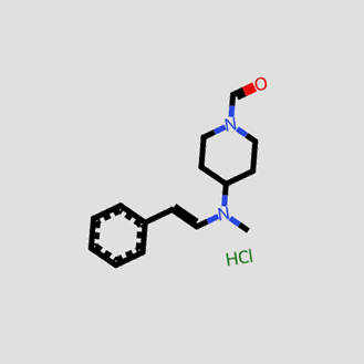 CN(C=Cc1ccccc1)C1CCN(C=O)CC1.Cl